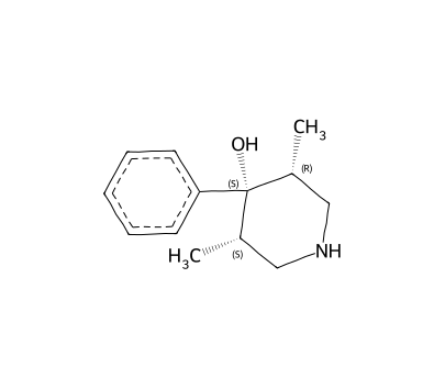 C[C@@H]1CNC[C@H](C)[C@@]1(O)c1ccccc1